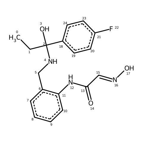 CCC(O)(NCc1ccccc1NC(=O)C=NO)c1ccc(F)cc1